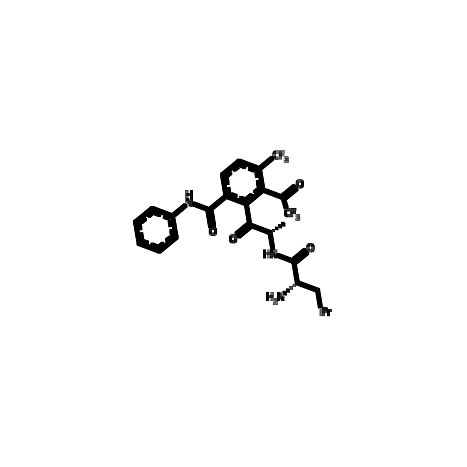 CC(C)C[C@H](N)C(=O)N[C@@H](C)C(=O)c1c(C(=O)Nc2ccccc2)ccc(C(F)(F)F)c1C(=O)C(F)(F)F